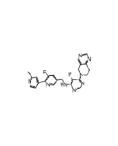 Cc1cc(-c2ncc(CNc3ncnc(N4CCc5ncncc5C4)c3F)cc2F)ccn1